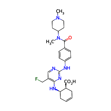 CN1CCC(N(C)C(=O)c2ccc(Nc3ncc(CF)c(N[C@@H]4CC=CC[C@@H]4C(=O)O)n3)cc2)CC1